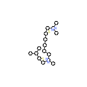 c1ccc(-c2cc(-c3ccccc3)cc(-c3ccc4c(c3)sc3c(-c5nc(-c6ccccc6)cc(-c6cccc(-c7cccc(-c8ccc(-c9ccc(-c%10ccc%11c(c%10)sc%10c(-c%12cc(-c%13ccccc%13)nc(-c%13ccccc%13)n%12)cccc%10%11)cc9)cc8)c7)c6)n5)cccc34)c2)cc1